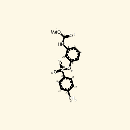 COC(=O)Nc1cccc(OS(=O)(=O)c2ccc(C)cc2)c1